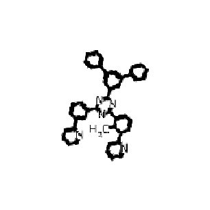 CC1C(c2nc(-c3cc(-c4ccccc4)cc(-c4ccccc4)c3)nc(-c3cccc(-c4ccccn4)c3)n2)=CC=CC1c1ccccn1